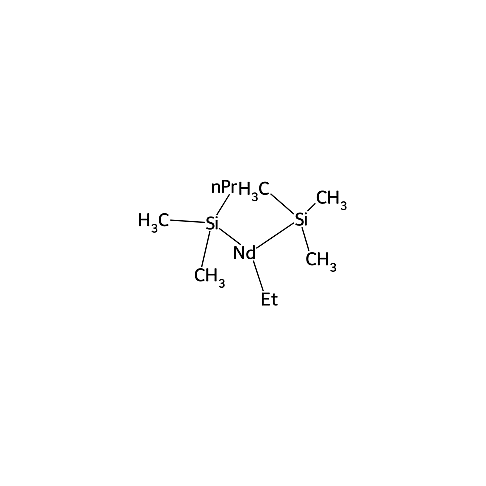 CCC[Si](C)(C)[Nd]([CH2]C)[Si](C)(C)C